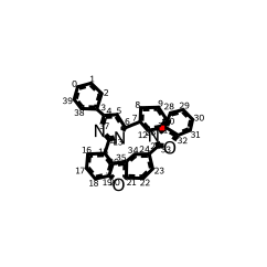 c1ccc(-c2cc(-c3ccccc3)nc(-c3cccc4oc5ccc(-c6nc7ccccc7o6)cc5c34)n2)cc1